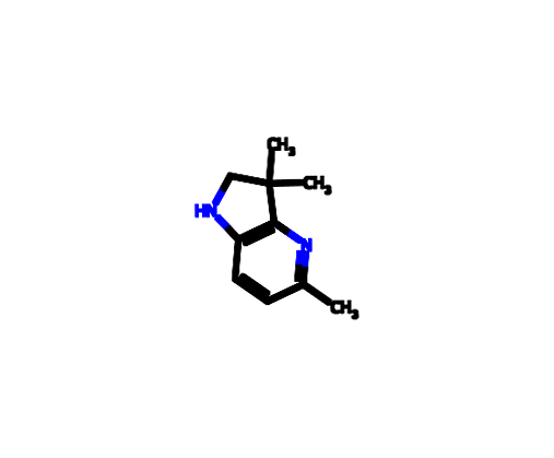 Cc1ccc2c(n1)C(C)(C)CN2